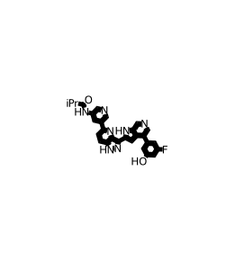 CC(C)C(=O)Nc1cncc(-c2ccc3[nH]nc(-c4cc5c(-c6cc(O)cc(F)c6)cncc5[nH]4)c3n2)c1